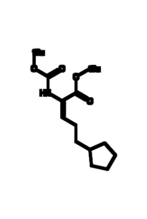 CC(C)(C)OC(=O)N/C(=C/CCC1CCCC1)C(=O)OC(C)(C)C